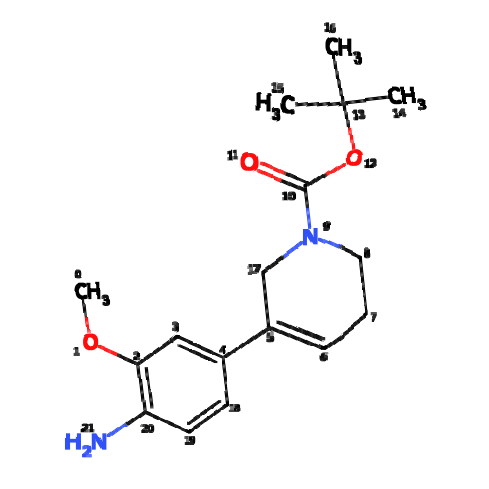 COc1cc(C2=CCCN(C(=O)OC(C)(C)C)C2)ccc1N